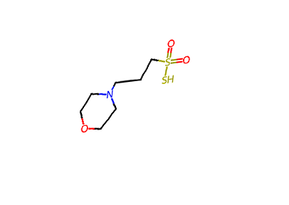 O=S(=O)(S)CCCN1CCOCC1